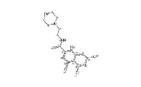 O=C(NCCN1CCOCC1)c1cc(=O)c2c(Cl)cc(Cl)cc2[nH]1